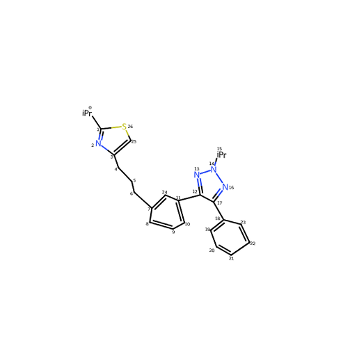 CC(C)c1nc(CCCc2cccc(-c3nn(C(C)C)nc3-c3ccccc3)c2)cs1